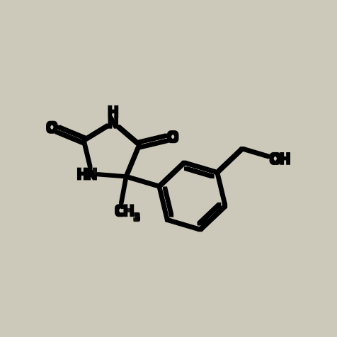 CC1(c2cccc(CO)c2)NC(=O)NC1=O